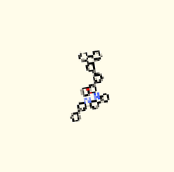 c1ccc(-c2ccc3c(c2)c2ccc4c5ccccc5n(-c5cccc(-c6cccc(-c7ccc8c9ccccc9c9ccccc9c8c7)c6)c5)c4c2n3-c2ccccc2)cc1